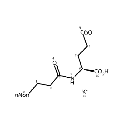 CCCCCCCCCCCC(=O)N[C@@H](CCC(=O)[O-])C(=O)O.[K+]